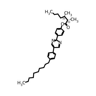 CCCCCCCCCCc1ccc(-c2cnc(-c3ccc(OC(=O)[C@@H](C)[C@@H](C)CCCC)cc3)nc2)cc1